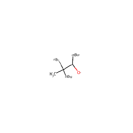 CCCCC([O])C(C)(CCCC)CCCC